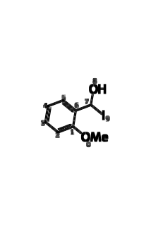 COc1ccccc1C(O)I